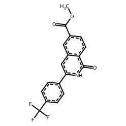 COC(=O)c1ccc2c(=O)[nH]c(-c3ccc(C(F)(F)F)cc3)cc2c1